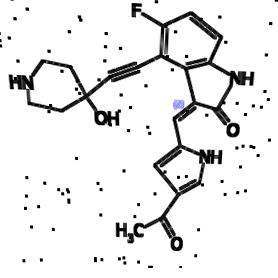 CC(=O)c1c[nH]c(/C=C2\C(=O)Nc3ccc(F)c(C#CC4(O)CCNCC4)c32)c1